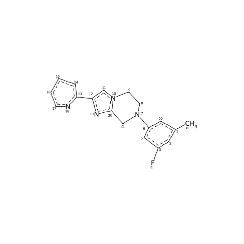 Cc1cc(F)cc(N2CCn3cc(-c4ccccn4)nc3C2)c1